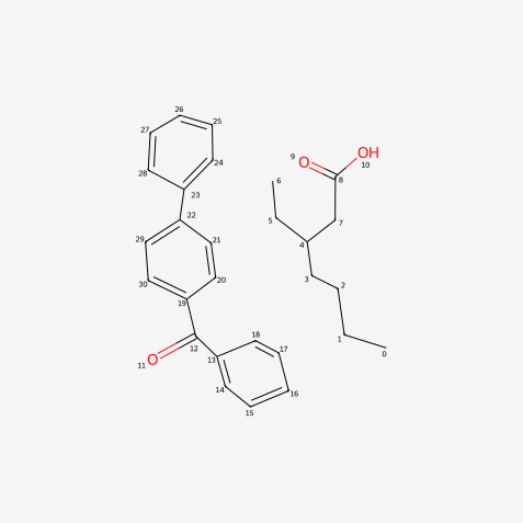 CCCCC(CC)CC(=O)O.O=C(c1ccccc1)c1ccc(-c2ccccc2)cc1